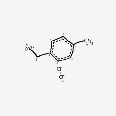 Cc1ccc([CH2][Zn+2])cc1.[Cl-].[Cl-]